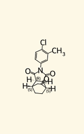 Cc1cc(N2C(=O)[C@@H]3[C@H]4CC[C@H](C(=O)C4)[C@@H]3C2=O)ccc1Cl